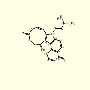 C=C1CCC(=O)C/C=C\c2c1c1c3occc(=O)c3ccc1n2CCN(C)C